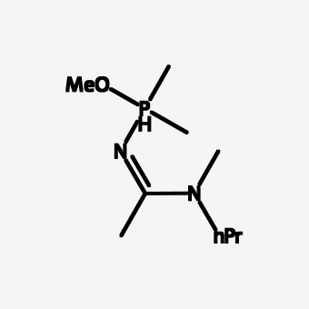 CCCN(C)/C(C)=N\[PH](C)(C)OC